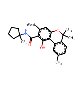 CCCCCc1cc2c(c(O)c1C(=O)NC1(C(F)(F)F)CCCC1)-c1cc(C)ccc1C(C)(C)O2